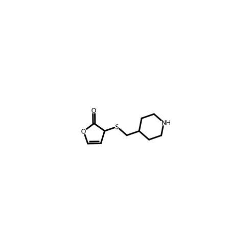 O=C1OC=CC1SCC1CCNCC1